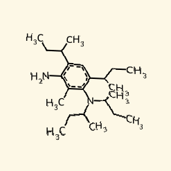 CCC(C)c1cc(C(C)CC)c(N(C(C)CC)C(C)CC)c(C)c1N